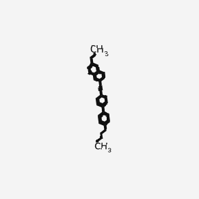 CCCCCc1ccc(-c2ccc(C#Cc3ccc4cc(CCC)ccc4c3)cc2)cc1